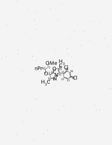 CCCC(COC)Oc1c(C)nn2c(-c3ccc(Cl)cc3Cl)c(C)oc12